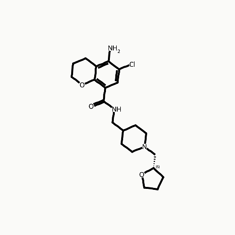 Nc1c(Cl)cc(C(=O)NCC2CCN(C[C@@H]3CCCO3)CC2)c2c1CCCO2